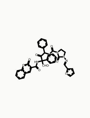 O=[C]C(NC(=O)c1cc2ccccc2oc1=O)(C(=O)C(NC(=O)N1CCN(N=Cc2ccco2)C1=O)c1ccccc1)c1ccccc1